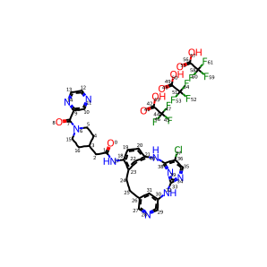 O=C(CC1CCN(C(=O)c2cnccn2)CC1)Nc1ccc2cc1CCc1cncc(c1)Nc1ncc(Cl)c(n1)N2.O=C(O)C(F)(F)F.O=C(O)C(F)(F)F.O=C(O)C(F)(F)F